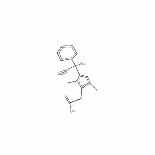 Cc1cc(C(O)(C#N)c2ccccc2)n(C)c1CC(=O)O